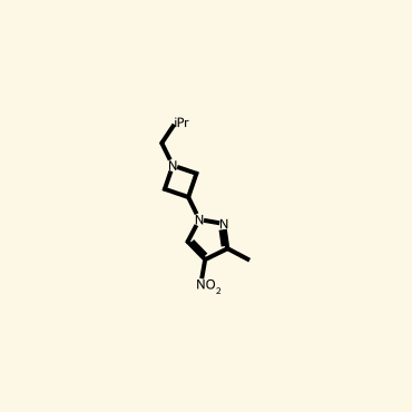 Cc1nn(C2CN(CC(C)C)C2)cc1[N+](=O)[O-]